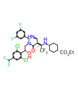 CCOC(=O)[C@H]1CC[C@H](N/C(=C(\C=N)C(=O)N(Cc2cc(F)cc(F)c2)CC(O)c2c(Cl)cc(C(F)F)cc2Cl)C(F)(F)F)CC1